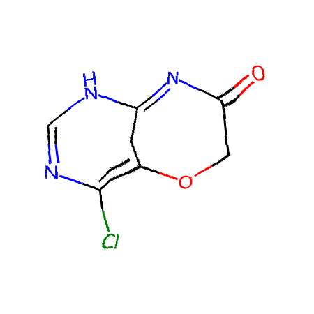 O=C1COC2=C(Cl)N=CNC2=N1